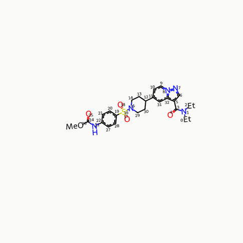 CCN(CC)C(=O)c1cnn2ccc(C3CCN(S(=O)(=O)c4ccc(NC(=O)OC)cc4)CC3)cc12